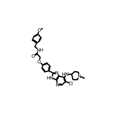 COc1ccc(CNC(=O)COc2ccc(-c3nc4c(NC5CCN(C)CC5)c(Cl)cnc4[nH]3)cc2)cc1